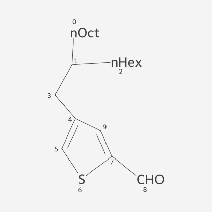 CCCCCCCCC(CCCCCC)Cc1csc(C=O)c1